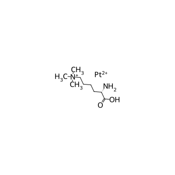 C[N+](C)(C)CCCC[C@H](N)C(=O)O.[Pt+2]